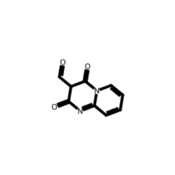 O=CC1C(=O)N=C2C=CC=CN2C1=O